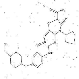 C=N/C=C1/OC(C(C)=O)C(=O)N(C2CCCC2)/C1=N/CNc1ccc(CN2CCN(CC)CC2)cn1